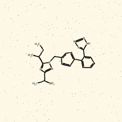 CCC(C)c1nc(C(C)N)nn1Cc1ccc(-c2ccccc2-c2nnn[nH]2)cc1